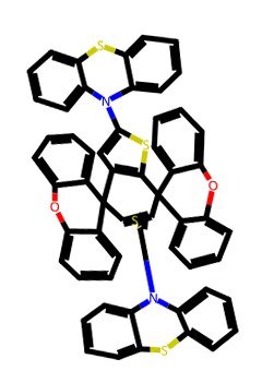 c1ccc2c(c1)Oc1ccccc1C21c2cc(N3c4ccccc4Sc4ccccc43)sc2C2(c3ccccc3Oc3ccccc32)c2cc(N3c4ccccc4Sc4ccccc43)sc21